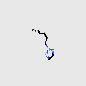 C=C/C=C\Cn1nccn1